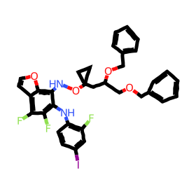 Fc1cc(I)ccc1Nc1c(F)c(F)c2ccoc2c1NOC1(CC(COCc2ccccc2)OCc2ccccc2)CC1